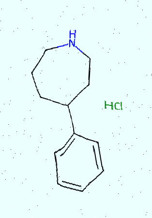 Cl.c1ccc(C2CCCNCC2)cc1